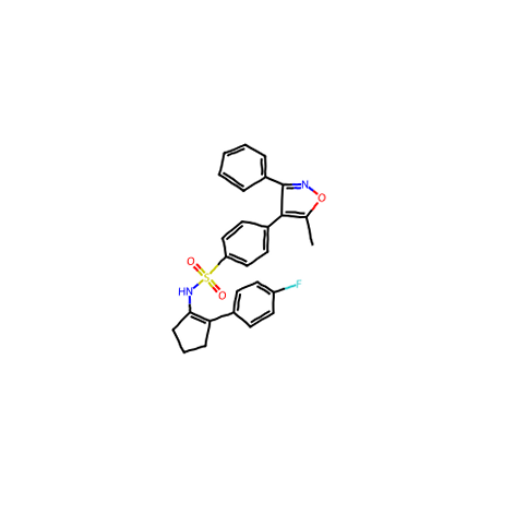 Cc1onc(-c2ccccc2)c1-c1ccc(S(=O)(=O)NC2=C(c3ccc(F)cc3)CCC2)cc1